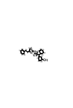 CC(C)(C(=O)Nc1nc(CCc2ccccc2)cs1)C(c1ccccc1)c1cccc(O)c1